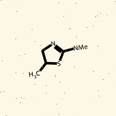 CNC1=NCC(C)S1